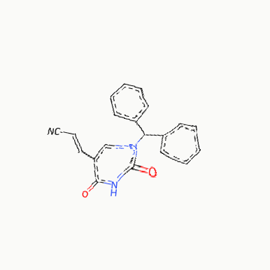 N#CC=Cc1cn(C(c2ccccc2)c2ccccc2)c(=O)[nH]c1=O